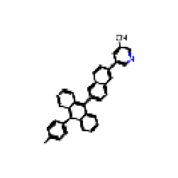 Cc1ccc(-c2c3ccccc3c(-c3ccc4cc(-c5cncc(C#N)c5)ccc4c3)c3ccccc23)cc1